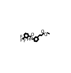 CCOC(=O)/C=C/c1cccc(NC(=O)c2cccc(C(F)(F)F)c2)c1